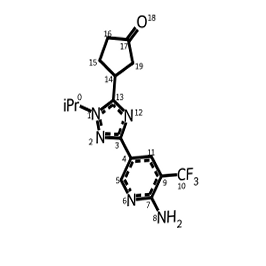 CC(C)n1nc(-c2cnc(N)c(C(F)(F)F)c2)nc1C1CCC(=O)C1